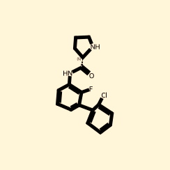 O=C(Nc1cccc(-c2ccccc2Cl)c1F)[C@@H]1CCCN1